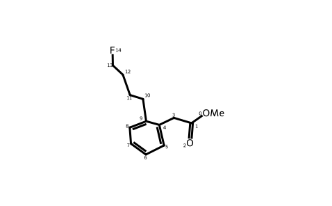 COC(=O)Cc1ccccc1CCCCF